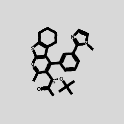 CC(=O)[C@@H](OC(C)(C)C)c1c(C)nc2sc3c(c2c1-c1cccc(-c2nccn2C)c1)CCCC3